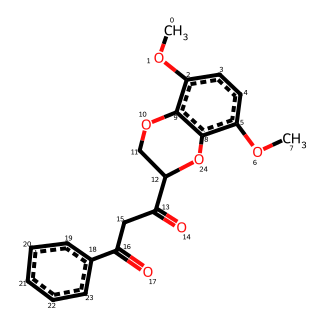 COc1ccc(OC)c2c1OCC(C(=O)CC(=O)c1ccccc1)O2